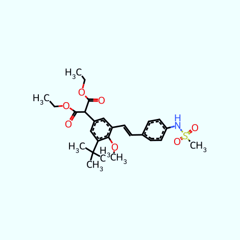 CCOC(=O)C(C(=O)OCC)c1cc(/C=C/c2ccc(NS(C)(=O)=O)cc2)c(OC)c(C(C)(C)C)c1